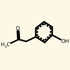 CC(=O)Cc1cccc(O)c1